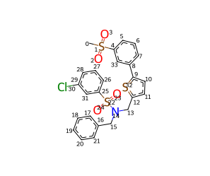 CS(=O)(=O)c1cccc(-c2ccc(CN(Cc3ccccc3)S(=O)(=O)c3cccc(Cl)c3)s2)c1